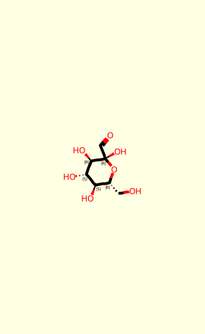 O=C[C@]1(O)O[C@H](CO)[C@@H](O)[C@H](O)[C@H]1O